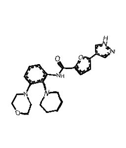 O=C(Nc1cccc(N2CCOCC2)c1N1CCCCC1)c1ccc(-c2cn[nH]c2)o1